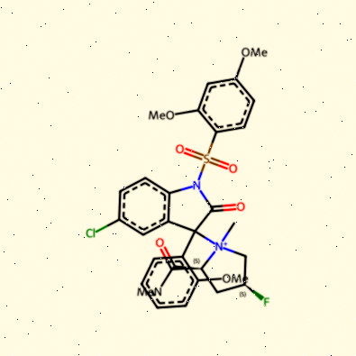 CNC(=O)[C@@H]1C[C@H](F)C[N+]1(C)C1(c2ccccc2OC)C(=O)N(S(=O)(=O)c2ccc(OC)cc2OC)c2ccc(Cl)cc21